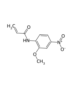 C=CC(=O)Nc1ccc([N+](=O)[O-])cc1OC